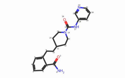 NC(=O)c1ccccc1CCC1CCN(C(=O)Nc2cccnc2)CC1